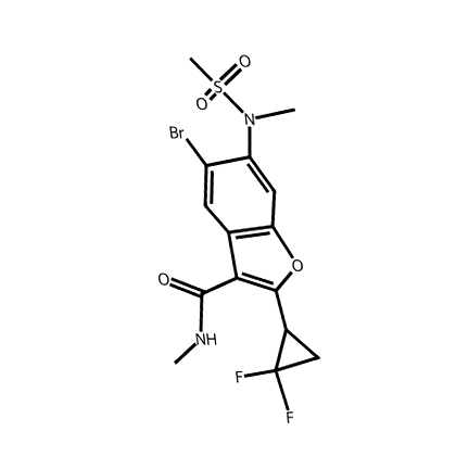 CNC(=O)c1c(C2CC2(F)F)oc2cc(N(C)S(C)(=O)=O)c(Br)cc12